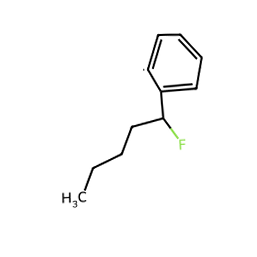 CCCCC(F)c1[c]cccc1